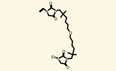 C=CN1CC(=O)N(CC(C)(C)CCCCOCCCCC(C)(C)CN2C(=O)CN(CC)C2=O)C1=O